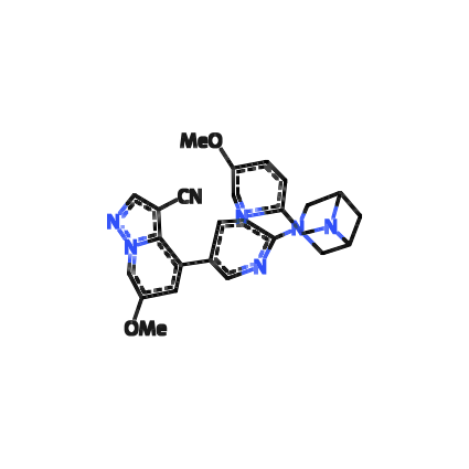 COc1ccc(CN2C3CC2CN(c2ccc(-c4cc(OC)cn5ncc(C#N)c45)cn2)C3)nc1